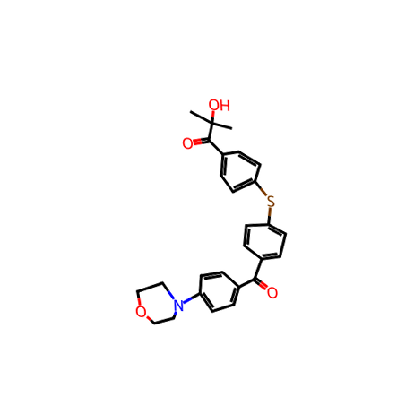 CC(C)(O)C(=O)c1ccc(Sc2ccc(C(=O)c3ccc(N4CCOCC4)cc3)cc2)cc1